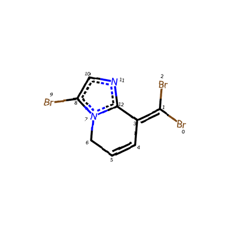 BrC(Br)=C1C=CCn2c(Br)cnc21